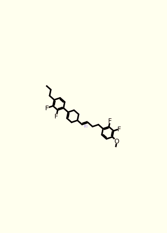 CCCc1ccc(C2=CCC(/C=C/CCc3ccc(OC)c(F)c3F)CC2)c(F)c1F